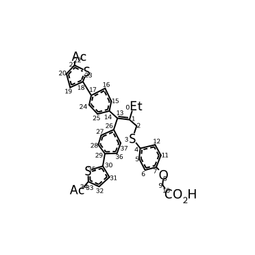 CCC(CSc1ccc(OCC(=O)O)cc1)=C(c1ccc(-c2ccc(C(C)=O)s2)cc1)c1ccc(-c2ccc(C(C)=O)s2)cc1